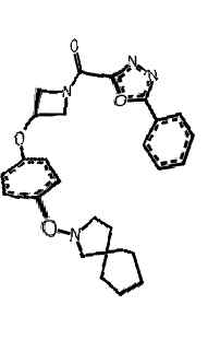 O=C(c1nnc(-c2ccccc2)o1)N1CC(Oc2ccc(ON3CCC4(CCCC4)C3)cc2)C1